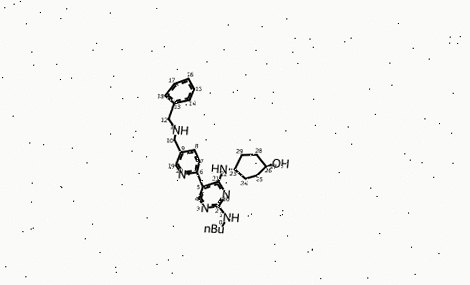 CCCCNc1ncc(-c2ccc(CNCc3ccccc3)cn2)c(N[C@H]2CC[C@H](O)CC2)n1